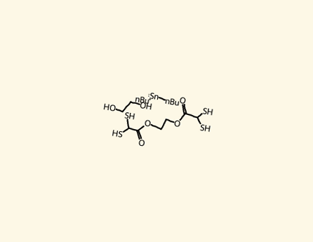 CCC[CH2][Sn][CH2]CCC.O=C(OCCOC(=O)C(S)S)C(S)S.OCCO